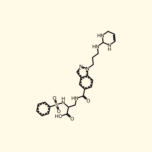 O=C(NCC(NS(=O)(=O)c1ccccc1)C(=O)O)c1ccc2c(cnn2CCCNC2NC=CCN2)c1